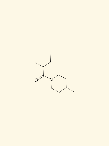 CCC(C)C(=O)N1CCC(C)CC1